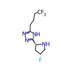 F[C@H]1CN[C@H](c2nnc(CCCC(F)(F)F)[nH]2)C1